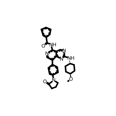 CO[C@H]1CC[C@H](Nc2ncc3c(NC(=O)c4ccccc4)ncc(-c4ccc(N5CCCC5=O)cc4)c3n2)CC1